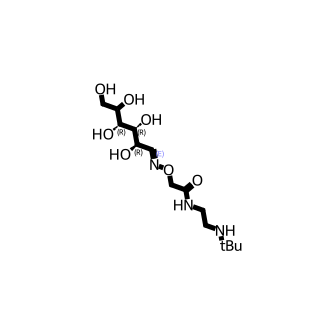 CC(C)(C)NCCNC(=O)CO/N=C/[C@@H](O)[C@@H](O)[C@H](O)C(O)CO